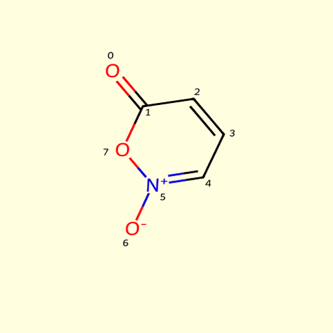 O=c1ccc[n+]([O-])o1